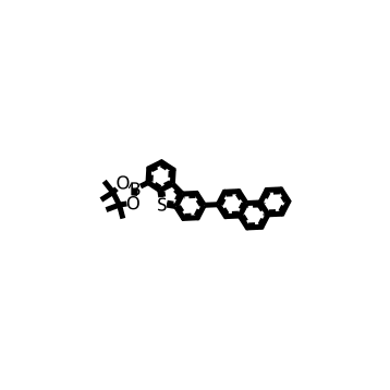 CC1(C)OB(c2cccc3c2sc2ccc(-c4ccc5c(ccc6ccccc65)c4)cc23)OC1(C)C